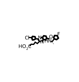 C[C@H](NC(=O)c1ccc2nc(-c3ccc(Cl)cc3)c(CCCCC(=O)O)nc2c1)c1ccc(F)cc1